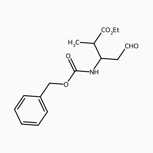 CCOC(=O)C(C)C(CC=O)NC(=O)OCc1ccccc1